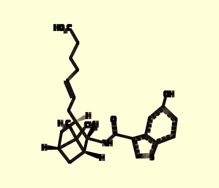 CC1(C)[C@H]2C[C@@H](CC=CCCCC(=O)O)[C@H](NC(=O)c3csc4ccc(O)cc34)[C@@H]1C2